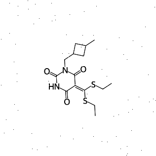 CCSC(SCC)=C1C(=O)NC(=O)N(CC2CC(C)C2)C1=O